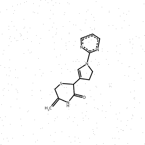 C=C1CSC(C2=CN(c3ncccn3)CC2)C(=O)N1